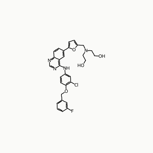 OCCN(CCO)Cc1ccc(-c2ccc3ncnc(Nc4ccc(OCc5cccc(F)c5)c(Cl)c4)c3c2)o1